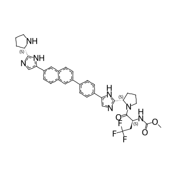 COC(=O)N[C@@H](CC(F)(F)F)C(=O)N1CCC[C@H]1c1ncc(-c2ccc(-c3ccc4cc(-c5cnc([C@@H]6CCCN6)[nH]5)ccc4c3)cc2)[nH]1